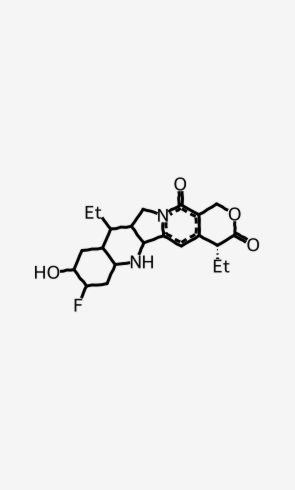 CCC1C2CC(O)C(F)CC2NC2c3cc4c(c(=O)n3CC21)COC(=O)[C@@H]4CC